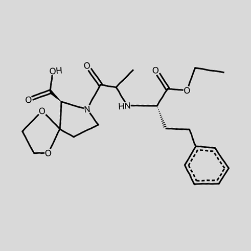 CCOC(=O)[C@H](CCc1ccccc1)NC(C)C(=O)N1CCC2(OCCO2)[C@H]1C(=O)O